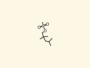 CC(C)CC(C)(C)COS(C)(=O)=O